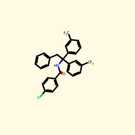 O=C(NC(Cc1ccccc1)(c1cccc(C(F)(F)F)c1)c1cccc(C(F)(F)F)c1)c1ccc(Cl)cc1